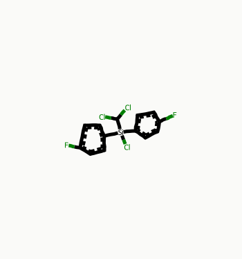 Fc1ccc([Si](Cl)(c2ccc(F)cc2)C(Cl)Cl)cc1